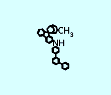 CC1/C=C2\CCC(CC1)CC21c2ccccc2-c2ccc(Nc3ccc(-c4cccc(-c5ccccc5)c4)cc3)cc21